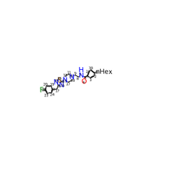 CCCCCCc1ccc(C(=O)NCCN2CCN(c3nc(Cc4ccc(F)cc4)ns3)CC2)cc1